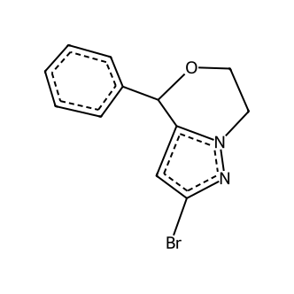 Brc1cc2n(n1)CCOC2c1ccccc1